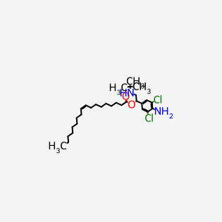 CCCCCCCC/C=C\CCCCCCCC(=O)OC(CNC(C)(C)C)c1cc(Cl)c(N)c(Cl)c1